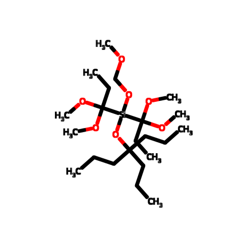 CCCC(CCC)(CCC)O[Si](OCOC)(C(CC)(OC)OC)C(CC)(OC)OC